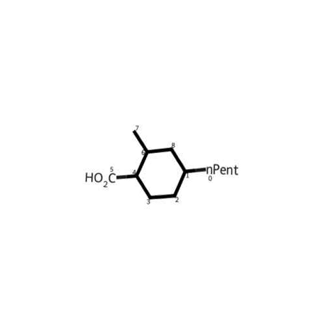 CCCCCC1CCC(C(=O)O)C(C)C1